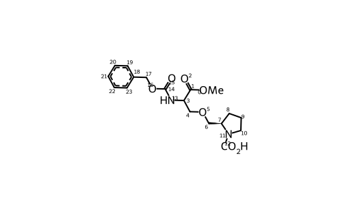 COC(=O)C(COC[C@H]1CCCN1C(=O)O)NC(=O)OCc1ccccc1